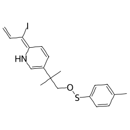 C=C/C(I)=C1/C=CC(C(C)(C)COSc2ccc(C)cc2)=CN1